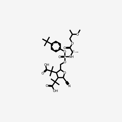 COC(C)COC(=O)[C@H](C)NP(=O)(OCC1OC(C#N)C(C(C)(C)C(=O)O)C1C(C)(C)C(=O)O)Oc1ccc(C(C)(C)C)cc1